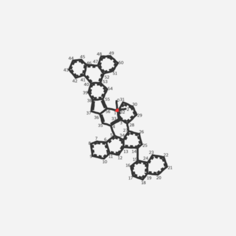 CC1(C)C=C(c2c3ccccc3cc3c(-c4cccc5ccccc45)ccc(-c4ccccc4)c23)C=C2C=c3cc4c5ccccc5c5ccccc5c4cc3=C21